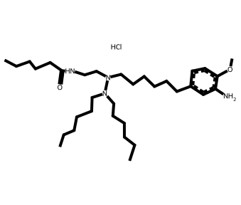 CCCCCCN(CCCCCC)N(CCCCCCc1ccc(OC)c(N)c1)CCNC(=O)CCCCC.Cl